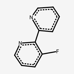 Fc1cccnc1-c1ccccn1